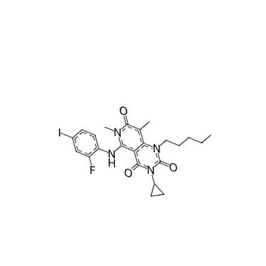 CCCCCn1c(=O)n(C2CC2)c(=O)c2c(Nc3ccc(I)cc3F)n(C)c(=O)c(C)c21